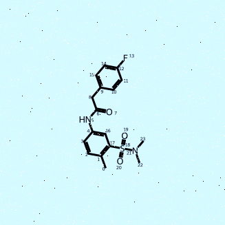 Cc1ccc(NC(=O)Cc2ccc(F)cc2)cc1S(=O)(=O)N(C)C